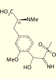 CN[C@@H](Cc1ccc(C(O)C(=N)S(C)(=O)=O)c(OC)c1)C(=O)O